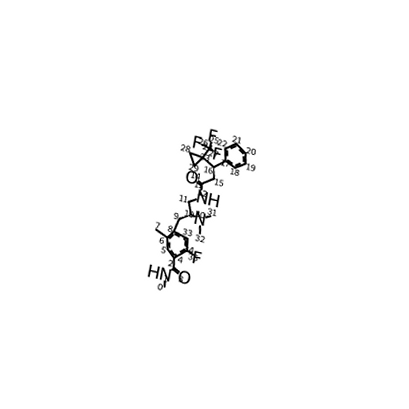 CNC(=O)c1cc(C)c(C[C@@H](CNC(=O)C[C@H](c2ccccc2)C2(C(F)(F)F)CC2)N(C)C)cc1F